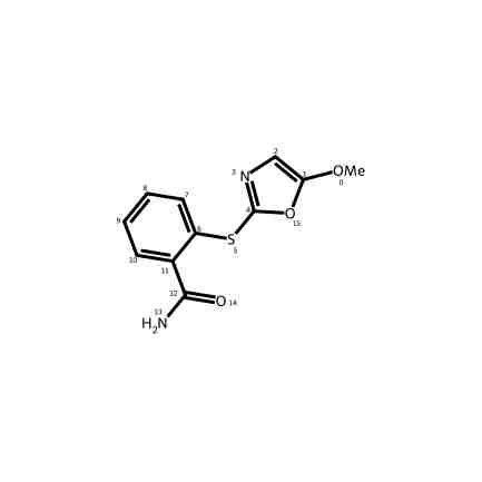 COc1cnc(Sc2ccccc2C(N)=O)o1